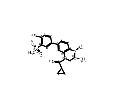 CC(=O)N1c2ccc(-c3ccc(F)c(S(C)(=O)=O)c3)cc2N(C(=O)C2CC2)C[C@@H]1C